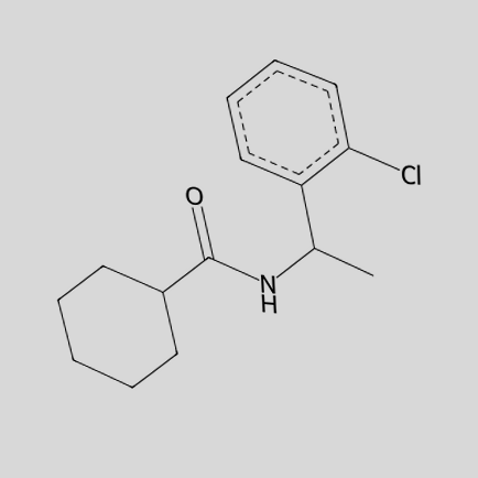 CC(NC(=O)C1CCCCC1)c1ccccc1Cl